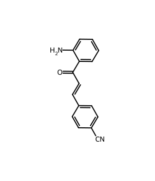 N#Cc1ccc(/C=C/C(=O)c2ccccc2N)cc1